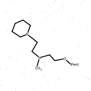 CCCC(C)OCCN(C)CCN1CCCCC1